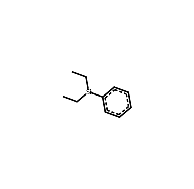 CC[Si](CC)c1ccccc1